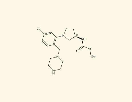 CC(C)(C)OC(=O)N[C@@H]1CCN(c2cc(Cl)ccc2CN2CCNCC2)C1